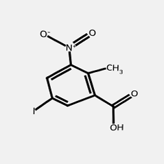 Cc1c(C(=O)O)cc(I)cc1[N+](=O)[O-]